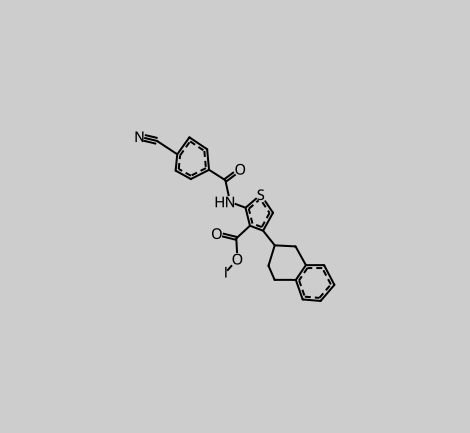 N#Cc1ccc(C(=O)Nc2scc(C3CCc4ccccc4C3)c2C(=O)OI)cc1